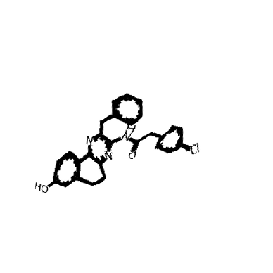 O=C(Cc1ccc(Cl)cc1)Nc1nc2c(nc1Cc1ccccc1)-c1ccc(O)cc1CC2